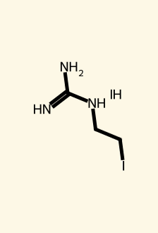 I.N=C(N)NCCI